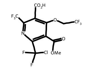 COC(=O)c1c(C(F)(F)Cl)nc(C(F)(F)F)c(C(=O)O)c1OCC(F)(F)F